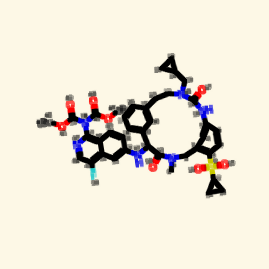 CN1Cc2cc(ccc2S(=O)(=O)C2CC2)NC(=O)N(CC2CC2)CCc2cccc(c2)C(Nc2ccc3c(N(C(=O)OC(C)(C)C)C(=O)OC(C)(C)C)ncc(F)c3c2)C1=O